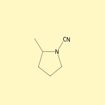 CC1CCCN1C#N